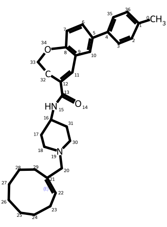 Cc1ccc(-c2ccc3c(c2)C=C(C(=O)NC2CCN(C/C4=C/CCCCCCC4)CC2)CCO3)cc1